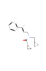 C/C(=C\CN(CC1CC1)C(=O)C1CC1)c1ccccc1